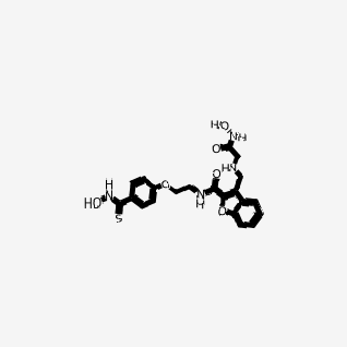 O=C(CNCc1c(C(=O)NCCOc2ccc(C(=S)NO)cc2)oc2ccccc12)NO